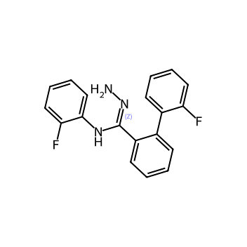 N/N=C(\Nc1ccccc1F)c1ccccc1-c1ccccc1F